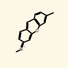 C/N=c1\ccc2cc3ccc(C)cc3oc-2c1